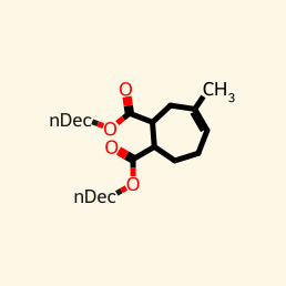 CCCCCCCCCCOC(=O)C1CCC=C(C)CC1C(=O)OCCCCCCCCCC